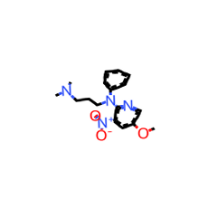 COc1cnc(N(CCCN(C)C)c2ccccc2)c([N+](=O)[O-])c1